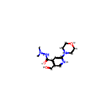 CN(C)NC(=O)c1cc(N2CCOCC2)ncc1C=O